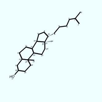 CC(C)CCCC[C@H]1CCC2C3CCC4CC(O)CCC4(C)C3CC[C@@]21C